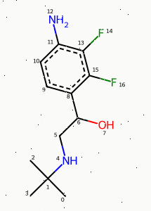 CC(C)(C)NCC(O)c1ccc(N)c(F)c1F